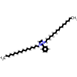 CCCCCCCCCCCCCCCCCn1cc[n+](CCCCCCCCCCCCCCCCC)c1-c1ccccc1